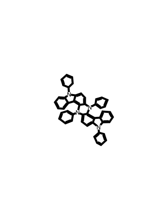 C1=CCC(n2c3ccccc3c3c4c(ccc32)N(c2ccccc2)c2c(ccc3c2c2ccccc2n3-c2ccccc2)N4c2ccccc2)C=C1